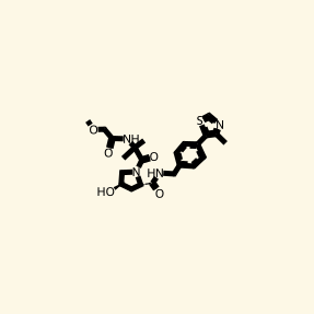 COCC(=O)NC(C)(C)C(=O)N1C[C@H](O)C[C@H]1C(=O)NCc1ccc(-c2scnc2C)cc1